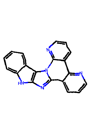 c1ccc2c(c1)[nH]c1nc3c4cccnc4c4cccnc4n3c12